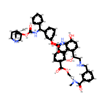 CN(CCOC(=O)c1ccc(COc2cccc(C(NC(=O)O[C@H]3CN4CCC3CC4)c3ccccc3)c2)cc1)C(=O)c1cccc(CNC[C@H](O)c2ccc(O)c3[nH]c(=O)ccc23)c1